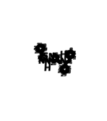 c1ccc(CC(NCc2ccnc(Nc3ncc(-c4ccccc4)s3)c2)c2ccccc2)cc1